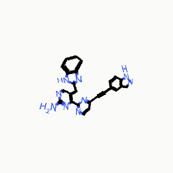 Nc1ncc(Cc2nc3ccccc3[nH]2)c(-c2nccc(C#Cc3ccc4[nH]ncc4c3)n2)n1